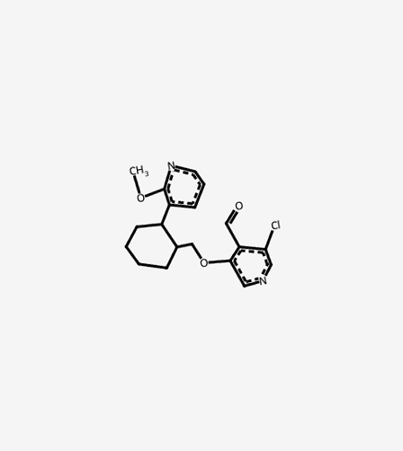 COc1ncccc1C1CCCCC1COc1cncc(Cl)c1C=O